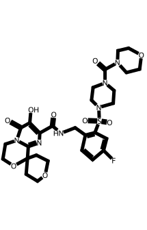 O=C(NCc1ccc(F)cc1S(=O)(=O)N1CCN(C(=O)N2CCOCC2)CC1)c1nc2n(c(=O)c1O)CCOC21CCOCC1